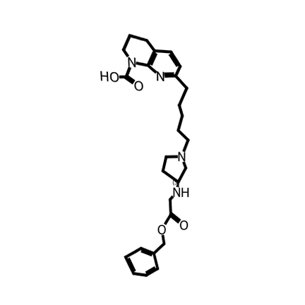 O=C(CN[C@H]1CCN(CCCCCc2ccc3c(n2)N(C(=O)O)CCC3)C1)OCc1ccccc1